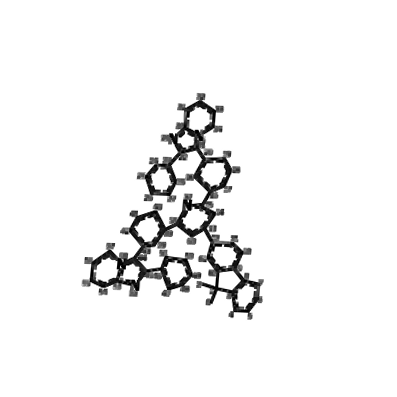 CC1(C)c2ccccc2-c2ccc(-c3cc(-c4cccc(-c5c(-c6ccccc6)nc6ccccn56)c4)nc(-c4cccc(-c5c(-c6ccccc6)nc6ccccn56)c4)c3)cc21